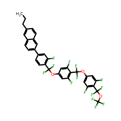 CCCc1ccc2cc(-c3ccc(C(F)(F)Oc4cc(F)c(C(F)(F)Oc5cc(F)c(C(F)(F)OC(F)(F)F)c(F)c5)c(F)c4)c(F)c3)ccc2c1